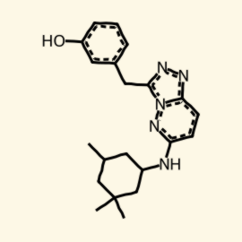 CC1CC(Nc2ccc3nnc(Cc4cccc(O)c4)n3n2)CC(C)(C)C1